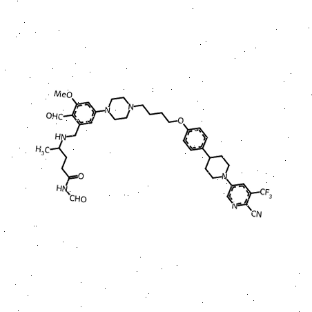 COc1cc(N2CCN(CCCCOc3ccc(C4CCN(c5cnc(C#N)c(C(F)(F)F)c5)CC4)cc3)CC2)cc(CNC(C)CCC(=O)NC=O)c1C=O